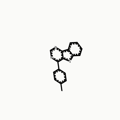 Cc1ccc(-c2ncnc3c2sc2ccccc23)cc1